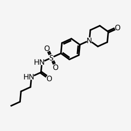 CCCCNC(=O)NS(=O)(=O)c1ccc(N2CCC(=O)CC2)cc1